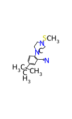 CSN1CCN(c2ccc(C(C)(C)C)cc2C#N)CC1